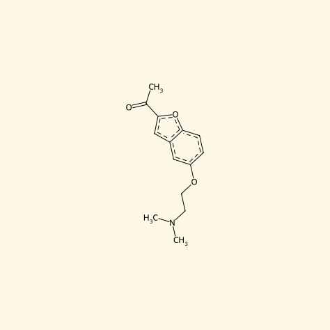 CC(=O)c1cc2cc(OCCN(C)C)ccc2o1